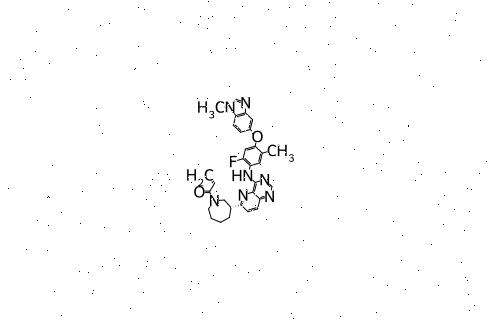 C=CC(=O)N1CCCC[C@@H](c2ccc3ncnc(Nc4cc(C)c(Oc5ccc6c(c5)ncn6C)cc4F)c3n2)C1